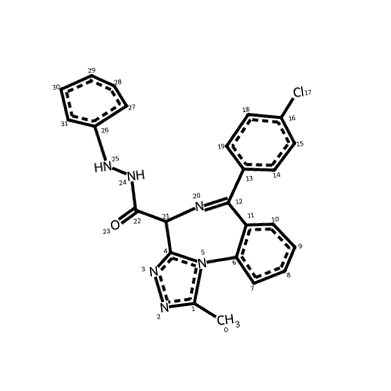 Cc1nnc2n1-c1ccccc1C(c1ccc(Cl)cc1)=NC2C(=O)NNc1ccccc1